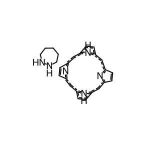 C1=Cc2cc3ccc(cc4nc(cc5ccc(cc1n2)[nH]5)C=C4)[nH]3.C1CCNNCC1